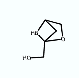 OCC12BC(CO1)C2